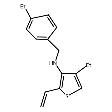 C=Cc1scc(CC)c1NCc1ccc(CC)cc1